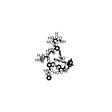 COCCN(CCOC12CC3(C)CC(C)(CC(Cn4ncc(-c5ccc(N6CCc7c(OC)ccc(C(=O)Nc8nc9ccccc9s8)c7C6)nc5C(=O)O)c4C)(C3)C1)C2)C(=O)OCC=Cc1ccc(O[C@@H]2O[C@H](C(=O)O)[C@@H](O)[C@H](O)[C@H]2O)c(NC(=O)CCNC(=O)C(N)CS(=O)(=O)O)c1